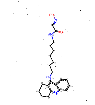 O=C(/C=N/O)NCCCCCCCNc1c2c(nc3ccccc13)CCCC2